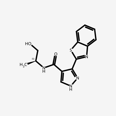 C[C@@H](CO)NC(=O)c1c[nH]nc1-c1nc2ccccc2s1